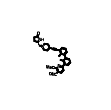 COc1nc(-c2cccc(-c3cccc(C#CC4CCN(C[C@@H]5CCC(=O)N5)CC4)c3C)c2C)ccc1C=O